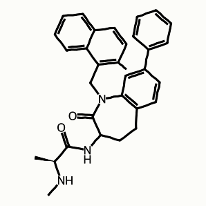 CN[C@@H](C)C(=O)NC1CCc2ccc(-c3ccccc3)cc2N(Cc2c(C)ccc3ccccc23)C1=O